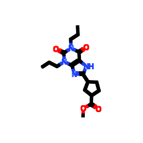 CCCn1c(=O)c2[nH]c(C3CCC(C(=O)OC)C3)nc2n(CCC)c1=O